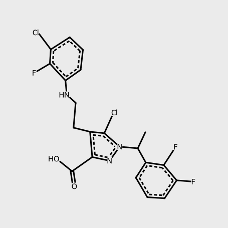 CC(c1cccc(F)c1F)n1nc(C(=O)O)c(CCNc2cccc(Cl)c2F)c1Cl